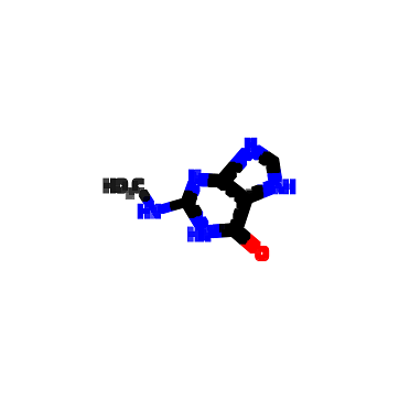 O=C(O)Nc1nc2nc[nH]c2c(=O)[nH]1